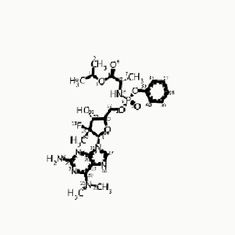 CC(C)OC(=O)[C@H](C)N[P@@](=O)(OCC1O[C@@H](n2cnc3c(N(C)C)nc(N)nc32)[C@](C)(F)[C@@H]1O)Oc1ccccc1